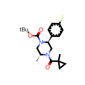 C[C@@H]1CN(C(=O)OC(C)(C)C)[C@@H](c2ccc(F)cc2)CN1C(=O)C1(C)CC1